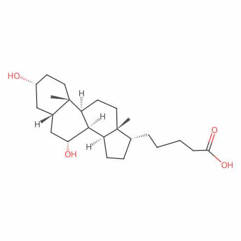 C[C@]12CC[C@@H](O)C[C@H]1C[C@@H](O)[C@H]1[C@@H]2CC[C@]2(C)[C@H](CCCCC(=O)O)CC[C@@H]12